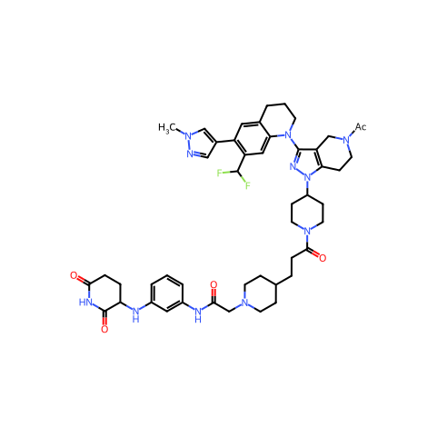 CC(=O)N1CCc2c(c(N3CCCc4cc(-c5cnn(C)c5)c(C(F)F)cc43)nn2C2CCN(C(=O)CCC3CCN(CC(=O)Nc4cccc(NC5CCC(=O)NC5=O)c4)CC3)CC2)C1